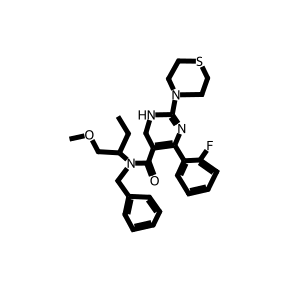 CCC(COC)N(Cc1ccccc1)C(=O)C1=C(c2ccccc2F)N=C(N2CCSCC2)NC1